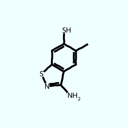 Cc1cc2c(N)nsc2cc1S